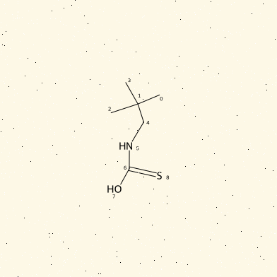 CC(C)(C)CNC(O)=S